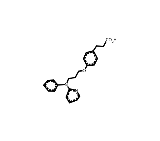 O=C(O)CCc1ccc(OCCCN(c2ccccc2)c2ccccn2)cc1